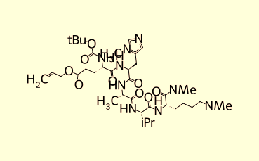 C=CCOC(=O)CC[C@H](NC(=O)OC(C)(C)C)C(=O)N[C@@H](Cc1cncn1C)C(=O)N[C@@H](C)C(=O)N[C@H](C(=O)N[C@@H](CCCCNC)C(=O)NC)C(C)C